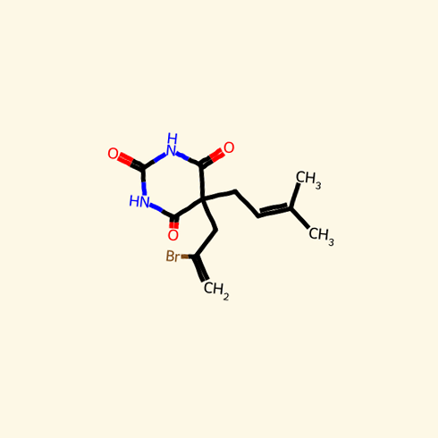 C=C(Br)CC1(CC=C(C)C)C(=O)NC(=O)NC1=O